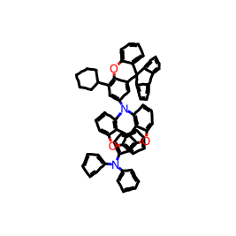 c1ccc(N(c2ccccc2)c2ccc3c(c2)oc2cccc(N(c4cc(C5CCCCC5)c5c(c4)C4(c6ccccc6O5)c5ccccc5-c5ccccc54)c4cccc5oc6ccccc6c45)c23)cc1